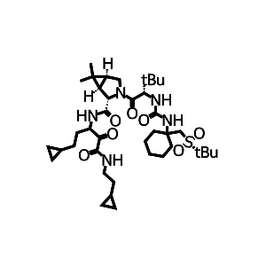 CC(C)(C)[C@H](NC(=O)NC1(CS(=O)(=O)C(C)(C)C)CCCCC1)C(=O)N1C[C@H]2[C@@H]([C@H]1C(=O)NC(CCC1CC1)C(=O)C(=O)NCCC1CC1)C2(C)C